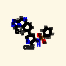 COc1ncc(-c2ccc3ncc4nnc(C)n4c3c2)cc1NS(=O)(=O)c1ccccc1